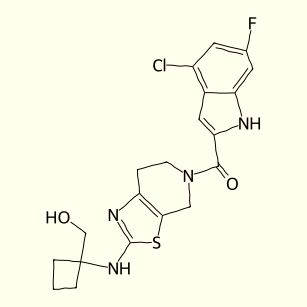 O=C(c1cc2c(Cl)cc(F)cc2[nH]1)N1CCc2nc(NC3(CO)CCC3)sc2C1